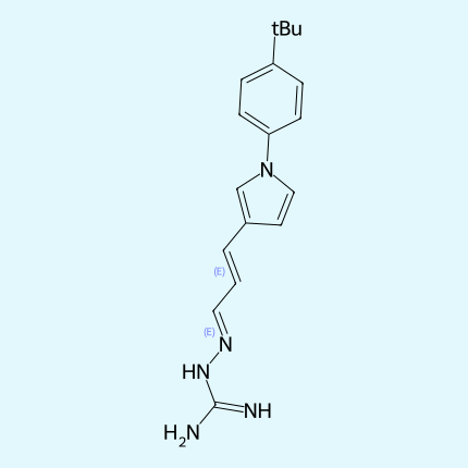 CC(C)(C)c1ccc(-n2ccc(/C=C/C=N/NC(=N)N)c2)cc1